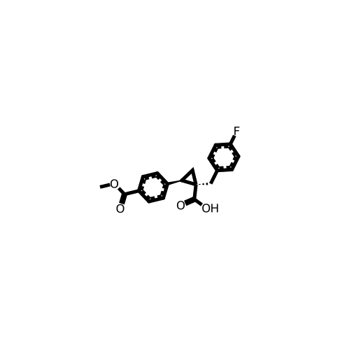 COC(=O)c1ccc([C@H]2C[C@@]2(Cc2ccc(F)cc2)C(=O)O)cc1